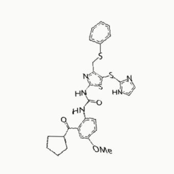 COc1ccc(NC(=O)Nc2nc(CSc3ccccc3)c(Sc3ncc[nH]3)s2)c(C(=O)C2CCCC2)c1